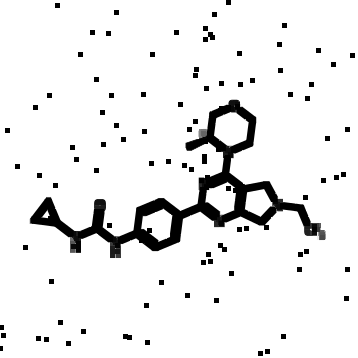 C[C@H]1COCCN1c1nc(-c2ccc(NC(=O)NC3CC3)cc2)nc2c1CN(CC(F)(F)F)C2